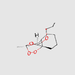 CCCO[C@@H]1O[C@]2(C)CCC3[C@H](C)CCC[C@]31OO2